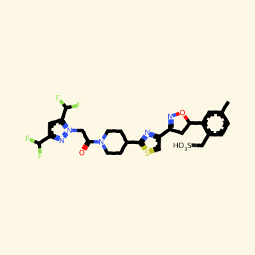 Cc1ccc(CS(=O)(=O)O)c(C2CC(c3csc(C4CCN(C(=O)Cn5nc(C(F)F)cc5C(F)F)CC4)n3)=NO2)c1